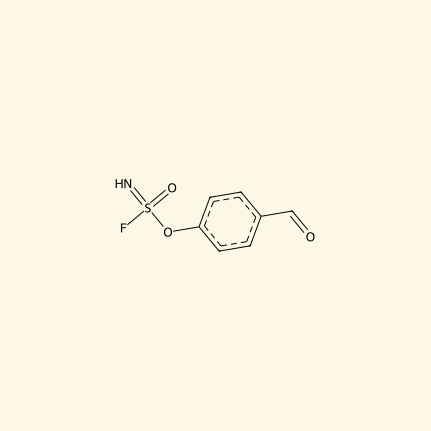 N=S(=O)(F)Oc1ccc(C=O)cc1